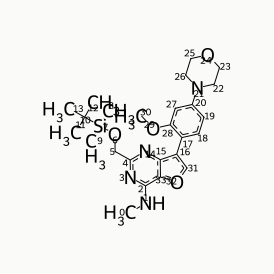 CNc1nc(CO[Si](C)(C)C(C)(C)C)nc2c(-c3ccc(N4CCOCC4)cc3OC)coc12